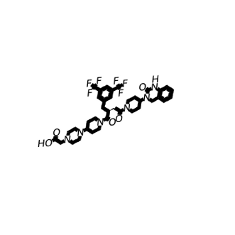 O=C(O)CN1CCN(C2CCN(C(=O)[C@@H](CC(=O)N3CCC(N4Cc5ccccc5NC4=O)CC3)Cc3cc(C(F)(F)F)cc(C(F)(F)F)c3)CC2)CC1